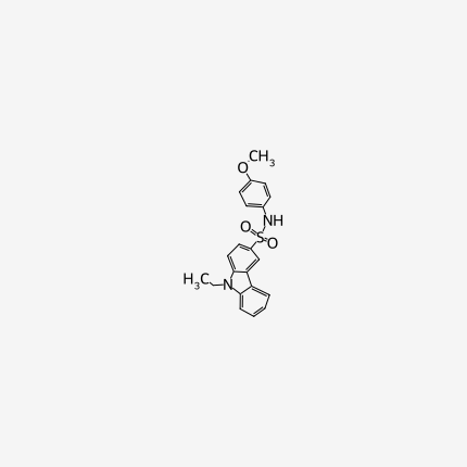 CCn1c2ccccc2c2cc(S(=O)(=O)Nc3ccc(OC)cc3)ccc21